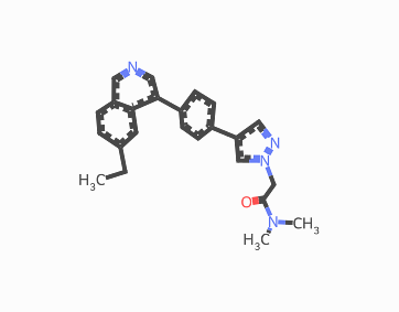 CCc1ccc2cncc(-c3ccc(-c4cnn(CC(=O)N(C)C)c4)cc3)c2c1